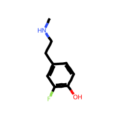 CNCCc1ccc(O)c(F)c1